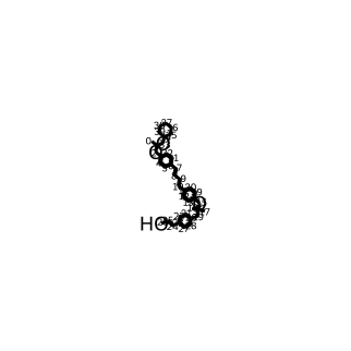 CC(Oc1ccc(C=CC=Cc2ccc(OC(C)(C)Cc3ccc(C=CO)cc3)cc2)cc1)OC1CCCCC1